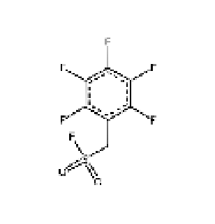 O=S(=O)(F)Cc1c(F)c(F)c(F)c(F)c1F